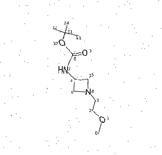 COCCN1CC(NC(=O)OC(C)(C)C)C1